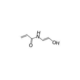 C=CC(=O)NC=CO